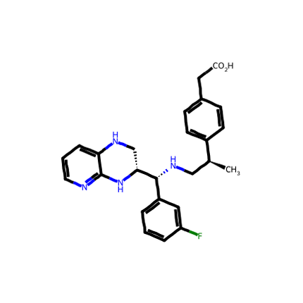 C[C@@H](CN[C@H](c1cccc(F)c1)[C@H]1CNc2cccnc2N1)c1ccc(CC(=O)O)cc1